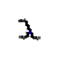 CCCCCCCCCCCCCCN(CCC(=O)O)CCC(=O)O